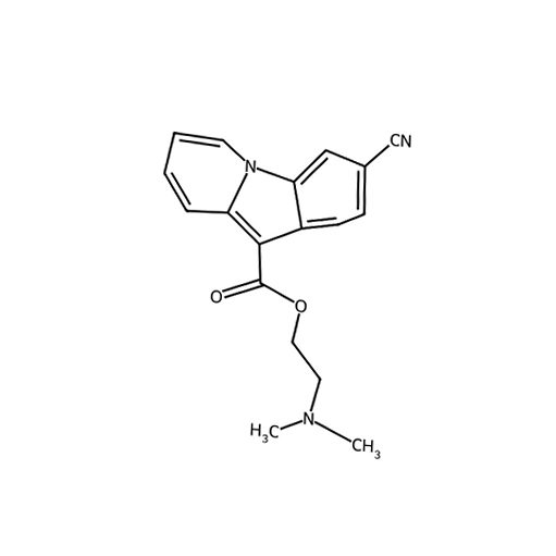 CN(C)CCOC(=O)c1c2ccc(C#N)cc2n2ccccc12